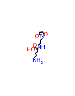 NCCCC[C@H](NCCCCN1C(=O)C=CC1=O)C(=O)O